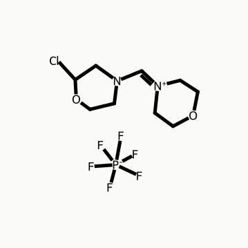 ClC1CN(C=[N+]2CCOCC2)CCO1.F[P-](F)(F)(F)(F)F